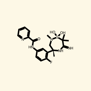 CN1C[C@@](C)(c2cc(NC(=O)c3ccccn3)ccc2F)NC(=N)C(C)(C)S1(O)O